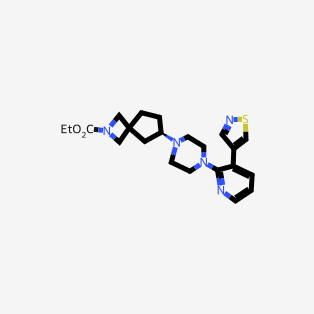 CCOC(=O)N1CC2(CC[C@@H](N3CCN(c4ncccc4-c4cnsc4)CC3)C2)C1